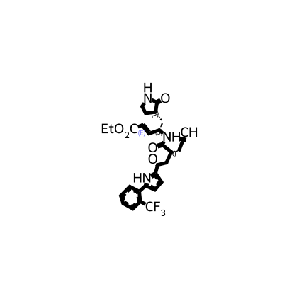 C#CC[C@H](CC(=O)c1ccc(-c2ccccc2C(F)(F)F)[nH]1)C(=O)N[C@H](/C=C/C(=O)OCC)C[C@@H]1CCNC1=O